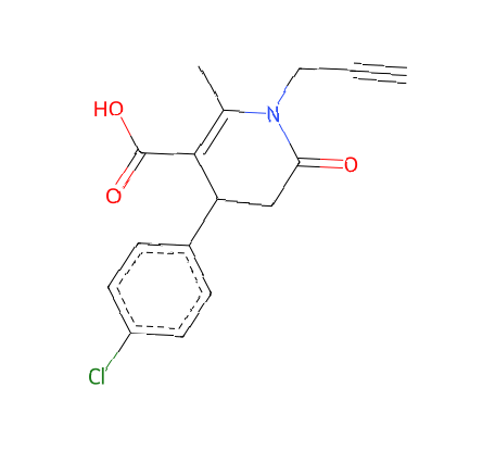 C#CCN1C(=O)CC(c2ccc(Cl)cc2)C(C(=O)O)=C1C